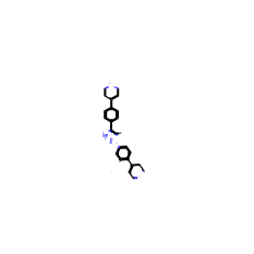 Cc1cc(-n2nnc(-c3ccc(C4=CCNCC4)cc3)c2C)ccc1C1=CCNCC1